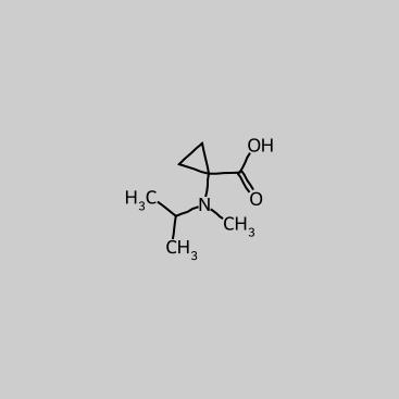 CC(C)N(C)C1(C(=O)O)CC1